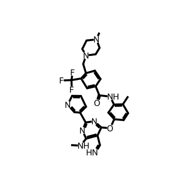 CNc1nc(-c2cccnc2)nc(Oc2ccc(C)c(NC(=O)c3ccc(CN4CCN(C)CC4)c(C(F)(F)F)c3)c2)c1C=N